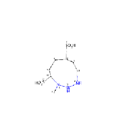 CN1NNCCC(S(=O)(=O)O)CCC1S(=O)(=O)O